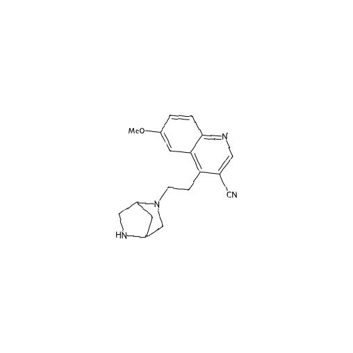 COc1ccc2ncc(C#N)c(CCN3CC4CC3CN4)c2c1